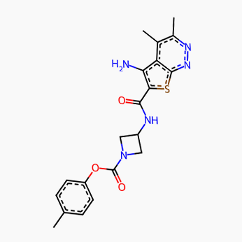 Cc1ccc(OC(=O)N2CC(NC(=O)c3sc4nnc(C)c(C)c4c3N)C2)cc1